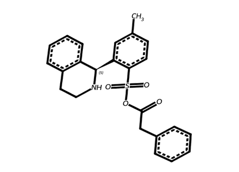 Cc1ccc(S(=O)(=O)OC(=O)Cc2ccccc2)c([C@H]2NCCc3ccccc32)c1